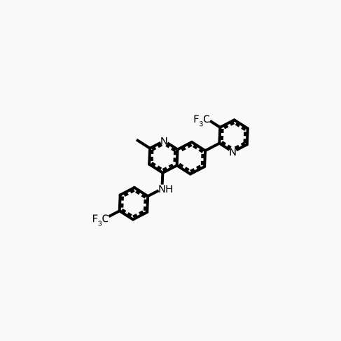 Cc1cc(Nc2ccc(C(F)(F)F)cc2)c2ccc(-c3ncccc3C(F)(F)F)cc2n1